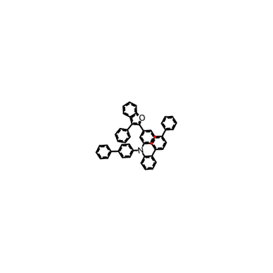 c1ccc(-c2ccc(-c3ccccc3N(c3ccc(-c4ccccc4)cc3)c3cccc(-c4oc5ccccc5c4-c4ccccc4)c3)cc2)cc1